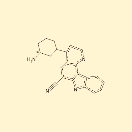 N#Cc1cc2c(C3CCC[C@@H](N)C3)ccnc2n2c1nc1ccccc12